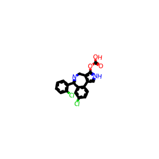 O=C(O)Oc1[nH]cc2c1CN=C(c1ccccc1Cl)c1cc(Cl)ccc1-2